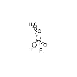 CCOC(=O)C[C@H]1CC[C@H](N(CC)CC)[C@@H](c2ccc(Cl)cc2)C1